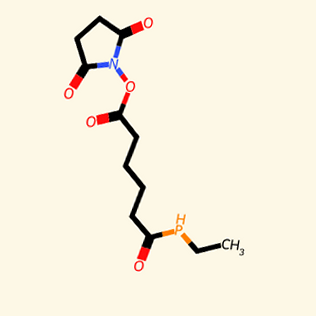 CCPC(=O)CCCCC(=O)ON1C(=O)CCC1=O